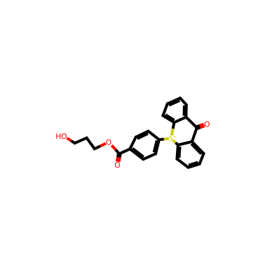 O=C(OCCCO)c1ccc(-[s+]2c3ccccc3c(=O)c3ccccc32)cc1